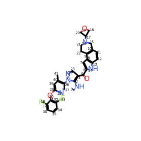 CNc1c(C(=O)c2cc3c4c(ccc3[nH]2)CN(C2COC2)CC4)cnn1-c1cnc(Oc2c(F)cccc2F)cc1C